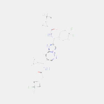 O=C(CC1CC(F)(F)C1)N[C@@H](c1cnn2cc([C@@H](NC(=O)[C@@H]3C[C@H]3C(F)(F)F)C3CCC(F)(F)CC3)nc2c1)C1CC1